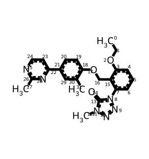 CCOc1cccc(-n2nnn(C)c2=O)c1COc1ccc(-c2ccnc(C)n2)cc1C